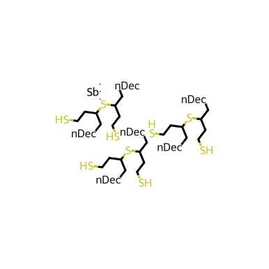 CCCCCCCCCCCC(CCS)SC(CCS)CCCCCCCCCCC.CCCCCCCCCCCC(CCS)SC(CCS)CCCCCCCCCCC.CCCCCCCCCCCC(CCS)SC(CCS)CCCCCCCCCCC.[Sb]